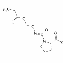 CCC(=O)OCON=[N+]([O-])N1CCC[C@H]1C(=O)O